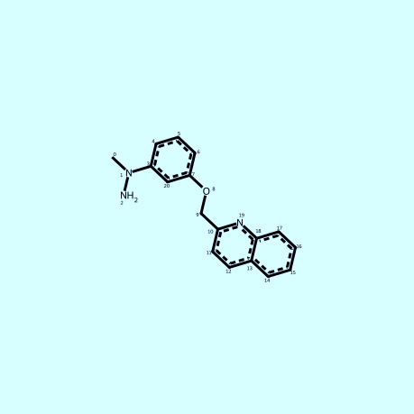 CN(N)c1cccc(OCc2ccc3ccccc3n2)c1